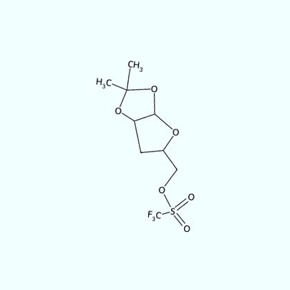 CC1(C)OC2CC(COS(=O)(=O)C(F)(F)F)OC2O1